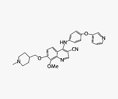 COc1c(OCC2CCN(C)CC2)ccc2c(Nc3ccc(Oc4cccnc4)cc3)c(C#N)cnc12